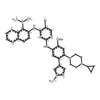 COc1cc(N2CCN(C3CC3)CC2)c(-c2cnn(C)c2)cc1Nc1ncc(Br)c(Nc2ccc3nccnc3c2P(C)C)n1